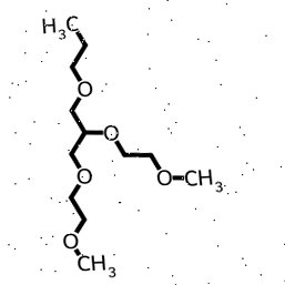 CCCOCC(COCCOC)OCCOC